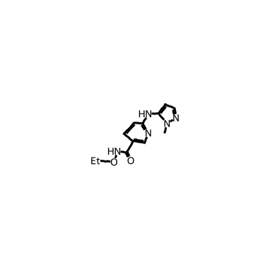 CCONC(=O)c1ccc(Nc2ccnn2C)nc1